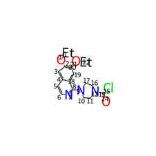 CCOc1cc2ccnc(N3CCN(C(=O)Cl)CC3)c2cc1OCC